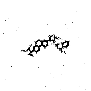 COC(=O)C1(c2ccc3c(c2)CCc2cc(-c4snc(C)c4NC(=O)O[C@H](C)c4ccccc4)ccc2-3)CC1